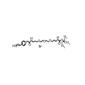 CC(C)(C)OC(=O)NCCCOCCOCCOCCCNC(=O)C[n+]1ccc(/C=N/O)cc1.[Br-]